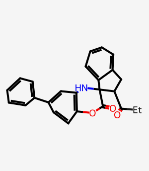 CCC(=O)C1Cc2ccccc2C12Nc1cc(-c3ccccc3)ccc1OC2=O